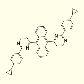 c1ccc2c(-c3ccnc(-c4ccc(C5CC5)cc4)n3)c3ccccc3c(-c3ccnc(-c4ccc(C5CC5)cc4)n3)c2c1